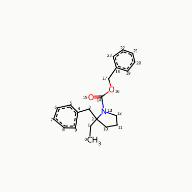 CCC1(Cc2ccccc2)CCCN1C(=O)OCc1ccccc1